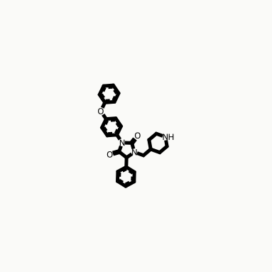 O=C1C(c2ccccc2)N(CC2CCNCC2)C(=O)N1c1ccc(Oc2ccccc2)cc1